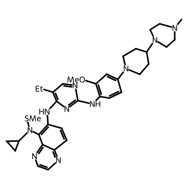 CCc1cnc(Nc2ccc(N3CCC(N4CCN(C)CC4)CC3)cc2OC)nc1Nc1ccc2nccnc2c1N(SC)C1CC1